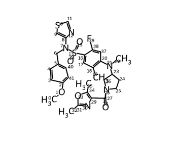 COc1ccc(CN(c2cscn2)S(=O)(=O)c2cc(C)c(N(C)C3CCN(C(=O)c4nc(C)oc4C)C3)cc2F)cc1